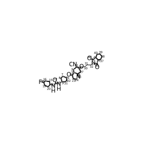 [C-]#[N+]c1cc2c(Oc3ccc(NC(=O)Nc4ccc(F)cc4)cc3)ccnc2cc1OCCCN1C(=O)c2ccccc2C1=O